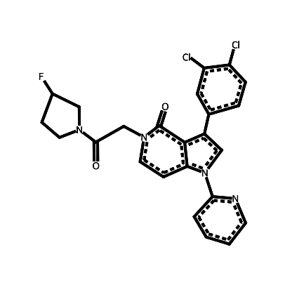 O=C(Cn1ccc2c(c(-c3ccc(Cl)c(Cl)c3)cn2-c2ccccn2)c1=O)N1CCC(F)C1